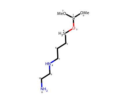 CO[Si](OC)O[SiH2]CCCNCCN